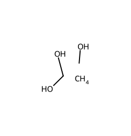 C.CO.OCO